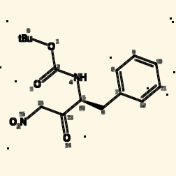 CC(C)(C)OC(=O)N[C@@H](Cc1ccccc1)C(=O)C[N+](=O)[O-]